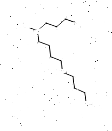 NCCCNCCCCN(C=O)CCCN